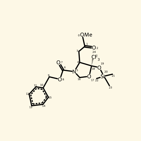 COC(=O)CC1N(C(=O)OCc2ccccc2)CO[C@@]1(O[Si](C)(C)C)C(F)(F)F